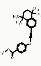 COC(=O)c1ccc(SC#Cc2ccc3c(c2)C(C)(C)CCC3(C)C)cc1